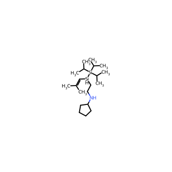 CC(C)=C[SiH](CCNC1CCCC1)[Si](C(C)C)(C(C)C)C(C)C